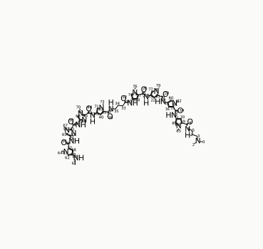 CN(C)CCCNC(=O)c1cc(NC(=O)c2cc(NC(=O)c3cc(NC(=O)c4cc(NC(=O)CCCNC(=O)c5cc(NC(=O)c6nc(NC(=O)c7nc(NC(=O)c8cc(NI)cn8C)cn7C)cn6C)cn5C)cn4C)cn3C)cn2C)cn1C